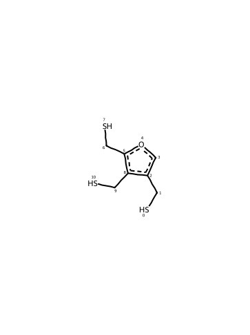 SCc1coc(CS)c1CS